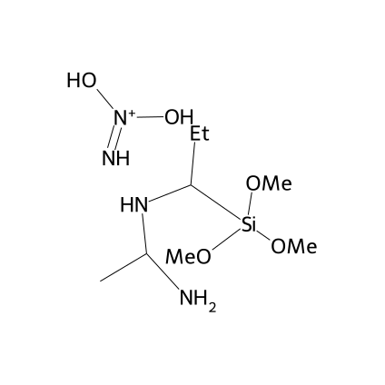 CCC(NC(C)N)[Si](OC)(OC)OC.N=[N+](O)O